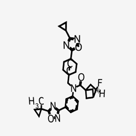 CC1(c2nc(-c3cccc(N(CC45CCC(c6nc(C7CC7)no6)(CC4)CC5)C(=O)C45CC(C4)[C@H](F)C5)c3)no2)CC1